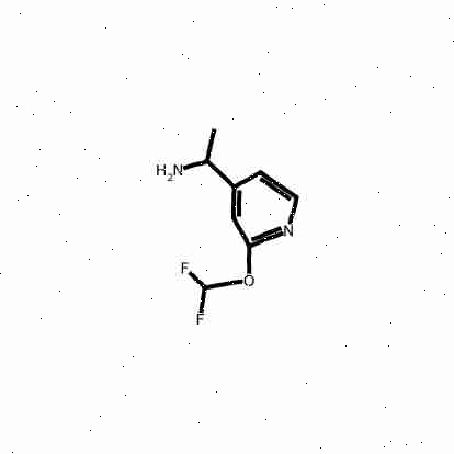 CC(N)c1ccnc(OC(F)F)c1